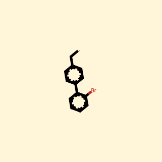 [CH2]Cc1ccc(-c2ccccc2Br)cc1